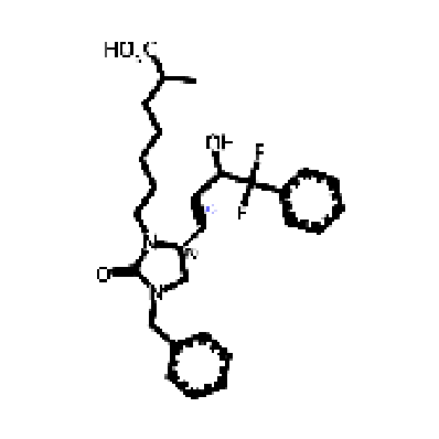 CC(CCCCCN1C(=O)N(Cc2ccccc2)C[C@@H]1/C=C/C(O)C(F)(F)c1ccccc1)C(=O)O